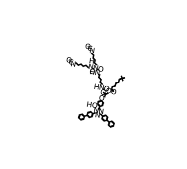 CC(C)(C)CCCCCC(=O)OCC(COc1ccc(-c2nc(-c3ccc(-c4ccccc4)cc3)nc(-c3ccc(-c4ccccc4)cc3)n2)c(O)c1)OC(=O)NCCCCCNC(=O)N(CCCCCCN=C=O)C(=O)NCCCCCCN=C=O